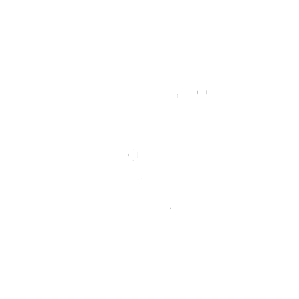 CCC1(C)CC(=O)CC(C)(C)C1.CCC1(C)CC(=O)CC1C(C)C